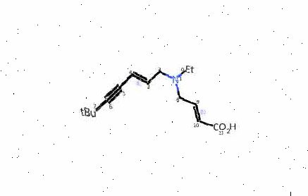 CCN(C/C=C/C#CC(C)(C)C)C/C=C/C(=O)O